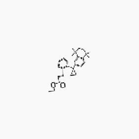 CCOC(=O)C=Cc1ccccc1C1(c2ccc3c(c2)C(C)(C)CCC3(C)C)CC1